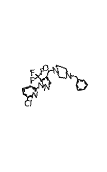 O=C(c1cnn(-c2cccc(Cl)n2)c1C(F)(F)F)N1CCN(Cc2ccccc2)CC1